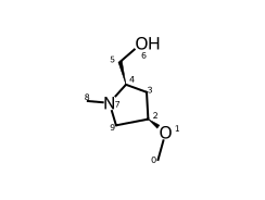 CO[C@@H]1C[C@H](CO)N(C)C1